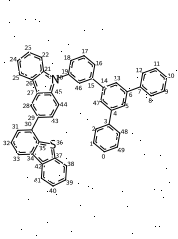 c1ccc(-c2cc(-c3ccccc3)cc(-c3cccc(-n4c5ccccc5c5cc(-c6cccc7c6sc6ccccc67)ccc54)c3)c2)cc1